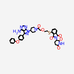 Nc1ncnc2c1c(-c1ccc(Oc3ccccc3)cc1)nn2C1CCN(C(=O)COCCSc2cccc3c2C(=O)N(C2CCC(=O)NC2=O)C3=O)CC1